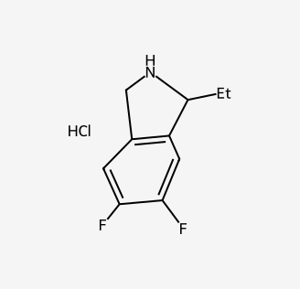 CCC1NCc2cc(F)c(F)cc21.Cl